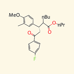 CCCCC(C(=O)OCCC)[C@H](CC(=O)c1ccc(F)cc1)c1ccc(OC)c(C)c1